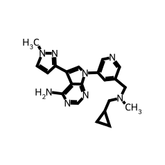 CN(Cc1cncc(-n2cc(-c3ccn(C)n3)c3c(N)ncnc32)c1)CC1CC1